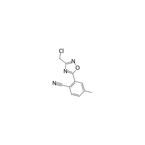 Cc1ccc(C#N)c(-c2nc(CCl)no2)c1